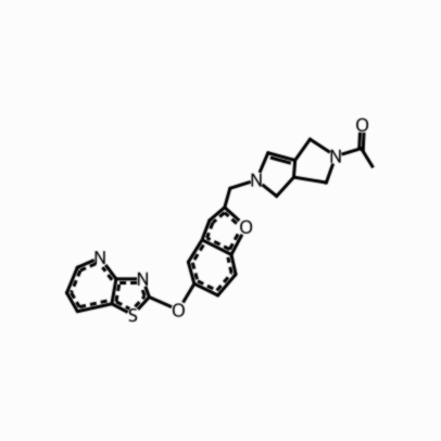 CC(=O)N1CC2=CN(Cc3cc4cc(Oc5nc6ncccc6s5)ccc4o3)CC2C1